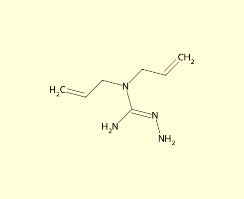 C=CCN(CC=C)C(N)=NN